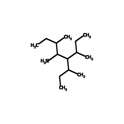 CCC(C)C([SiH3])C(C(C)CC)C(C)CC